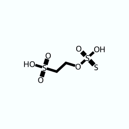 O=S(=O)(O)CCOS(=O)(O)=S